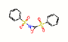 O=S(=O)(c1ccccc1)C1ON1S(=O)(=O)c1ccccc1